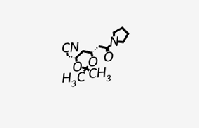 CC1(C)O[C@H](CC#N)C[C@H](CC(=O)N2CCCC2)O1